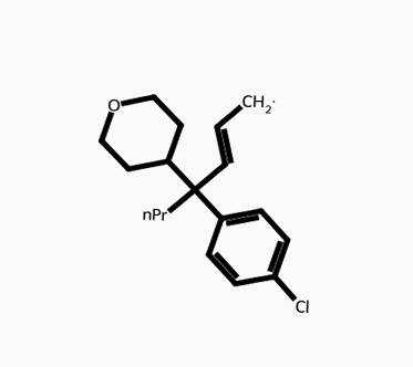 [CH2]C=CC(CCC)(c1ccc(Cl)cc1)C1CCOCC1